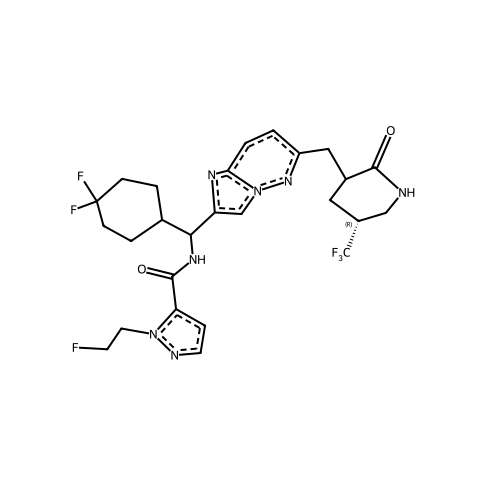 O=C(NC(c1cn2nc(CC3C[C@@H](C(F)(F)F)CNC3=O)ccc2n1)C1CCC(F)(F)CC1)c1ccnn1CCF